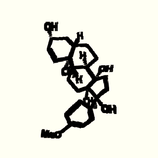 COc1ccc([C@@]2(O)CC[C@]3(O)[C@@H]4CC[C@H]5C[C@@H](O)C=C[C@]5(C)[C@H]4CC[C@]23C)cc1